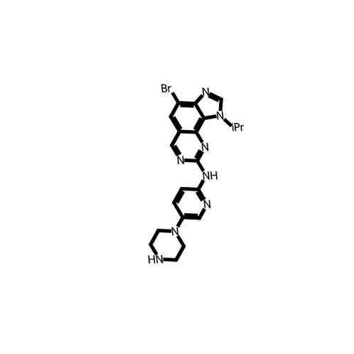 CC(C)n1cnc2c(Br)cc3cnc(Nc4ccc(N5CCNCC5)cn4)nc3c21